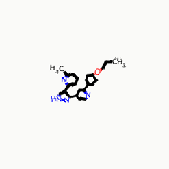 CCCOc1ccc(-c2cc(-c3n[nH]cc3-c3cccc(C)n3)ccn2)cc1